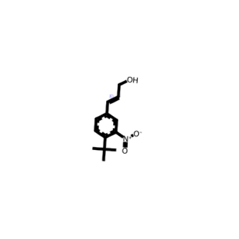 CC(C)(C)c1ccc(/C=C/CO)cc1[N+](=O)[O-]